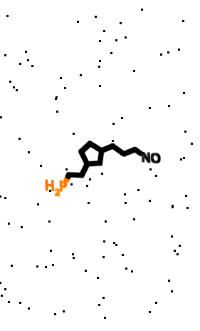 O=NCCCC1CCC(CCP)C1